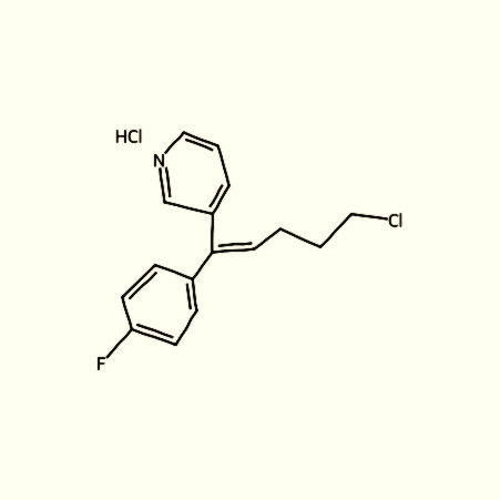 Cl.Fc1ccc(C(=CCCCCl)c2cccnc2)cc1